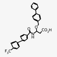 O=C(O)CC(NC(=O)c1ccc(-c2ccc(C(F)(F)F)cc2)cc1)OCc1ccc(-c2ccccc2)cc1